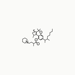 CCCCCC(C)C(C)c1cc(OC(=O)C(C)CCN2CCCCC2)c2c(c1)OC(C)(C)C1=C2C(C)CS1